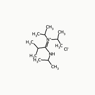 CC(C)NC(C(C)C)=[N+](C(C)C)C(C)C.[Cl-]